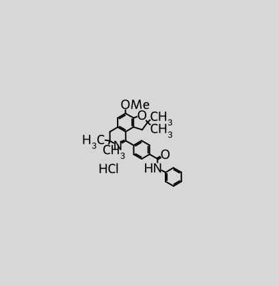 COc1cc2c(c3c1OC(C)(C)C3)C(c1ccc(C(=O)Nc3ccccc3)cc1)=NC(C)(C)C2.Cl